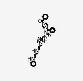 O=C(C1CCCCC1)N1CCN(c2nc(NCc3cn(CCCNCCCNC4CCCCC4)nn3)nc3ccccc23)CC1